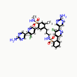 CCNS(=O)(=O)c1cc(C(F)(F)F)c(CCCNS(=O)(=O)c2ccccc2-c2cnc(-c3cnc(N)nc3)c(F)c2)cc1-c1cnc(-c2cnc(N)nc2)c(F)c1